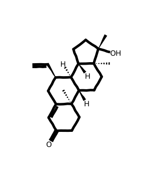 C=C[C@@H]1CC2=CC(=O)CC[C@]2(C)[C@H]2CC[C@@]3(C)[C@@H](CC[C@]3(C)O)[C@H]12